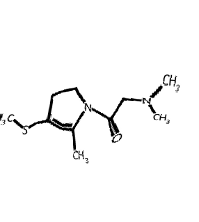 CSC1=C(C)N(C(=O)CN(C)C)CC1